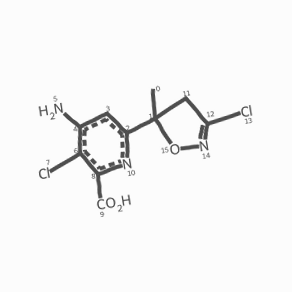 CC1(c2cc(N)c(Cl)c(C(=O)O)n2)CC(Cl)=NO1